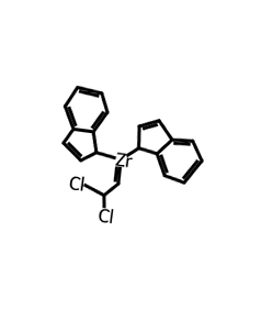 ClC(Cl)[CH]=[Zr]([CH]1C=Cc2ccccc21)[CH]1C=Cc2ccccc21